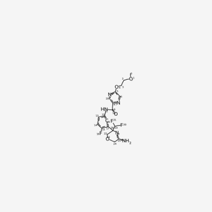 COCCOc1cnc(C(=O)Nc2ccc(F)c(C3(C(F)F)COCC(N)=N3)c2)cn1